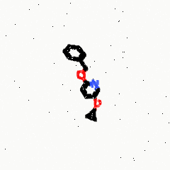 c1ccc(COc2ccc(OC3CC3)cn2)cc1